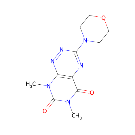 Cn1c(=O)c2nc(N3CCOCC3)nnc2n(C)c1=O